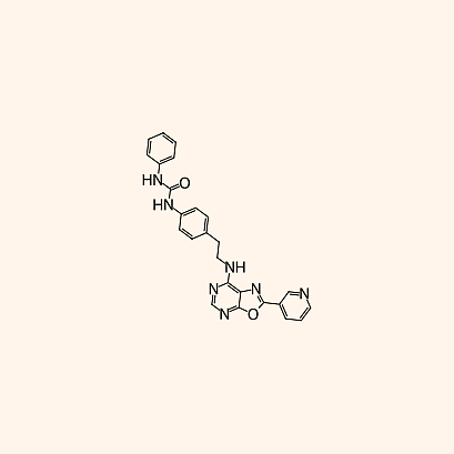 O=C(Nc1ccccc1)Nc1ccc(CCNc2ncnc3oc(-c4cccnc4)nc23)cc1